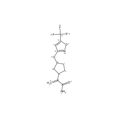 C=C(C(N)=O)C1CCC(Oc2cc(C(F)(F)F)on2)C1